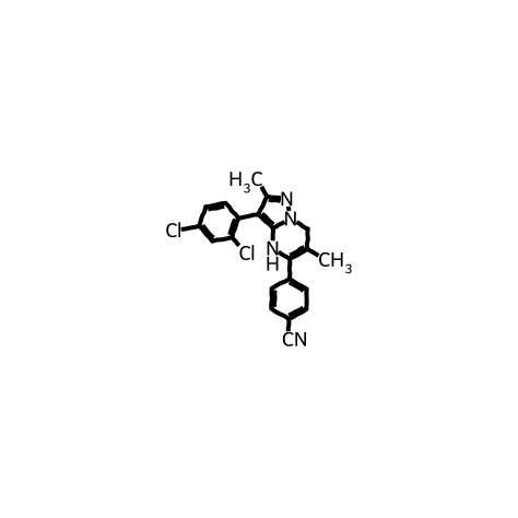 CC1=C(c2ccc(C#N)cc2)Nc2c(-c3ccc(Cl)cc3Cl)c(C)nn2C1